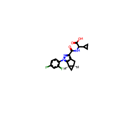 O=C(NC(C(=O)O)C1CC1)c1nn(-c2ccc(F)cc2F)c2c1C[C@H]1C[C@@H]21